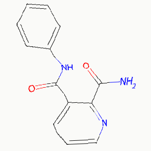 NC(=O)c1ncccc1C(=O)Nc1ccccc1